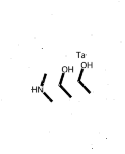 CCO.CCO.CNC.[Ta]